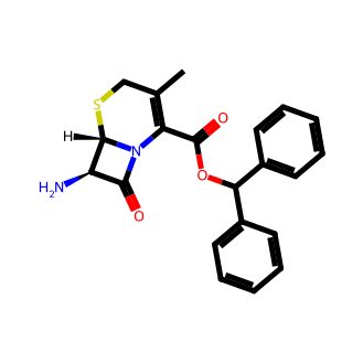 CC1=C(C(=O)OC(c2ccccc2)c2ccccc2)N2C(=O)[C@@H](N)[C@@H]2SC1